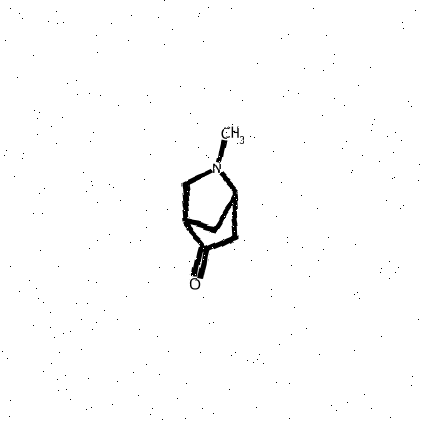 CN1CC2CC1CC2=O